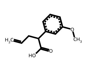 C=CCC(C(=O)O)c1cccc(OC)c1